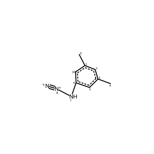 Cc1cc(C)cc(N[N+]#N)c1